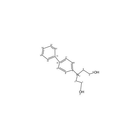 OCCN(CCO)c1ccc(-c2[c]cccc2)cc1